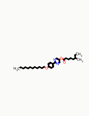 CCCCCCCCCCCCOc1ccc(-c2ncc(OC(=O)CCCCC(C)CC)cn2)cc1